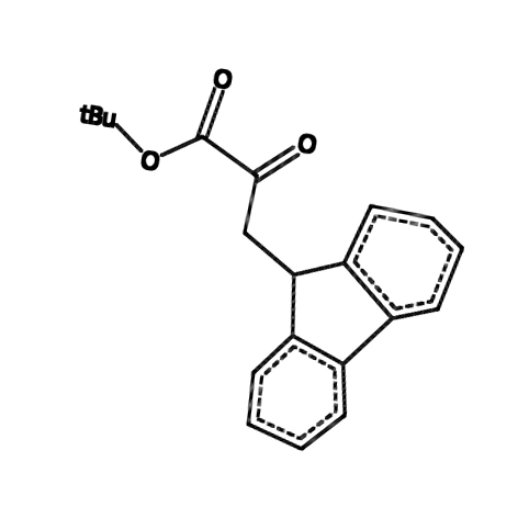 CC(C)(C)OC(=O)C(=O)CC1c2ccccc2-c2ccccc21